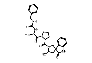 CC(C)(C)C(NC(=O)NCc1ccccc1)C(=O)N1CCC[C@H]1C(=O)N1C[C@]2(C[C@H]1C#N)C(=O)Nc1ccccc12